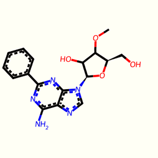 COC1C(O)[C@H](n2cnc3c(N)nc(-c4ccccc4)nc32)O[C@@H]1CO